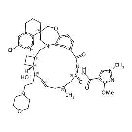 COc1nn(C)cc1C(=O)N[S@@]1(=O)=NC(=O)c2ccc3c(c2)N(C[C@@H]2CC[C@H]2[C@](O)(CCN2CCOCC2)/C=C/C[C@H](C)C1)C[C@@]1(CCCc2cc(Cl)ccc21)CO3